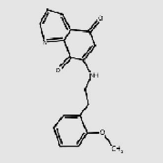 COc1ccccc1CCNC1=CC(=O)c2cccnc2C1=O